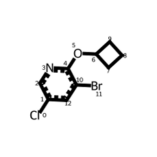 Clc1cnc(OC2CCC2)c(Br)c1